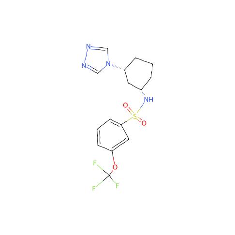 O=S(=O)(N[C@H]1CCC[C@@H](n2cnnc2)C1)c1cccc(OC(F)(F)F)c1